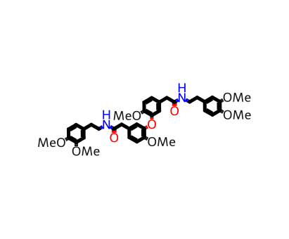 COc1ccc(CCNC(=O)Cc2ccc(OC)c(Oc3cc(CC(=O)NCCc4ccc(OC)c(OC)c4)ccc3OC)c2)cc1OC